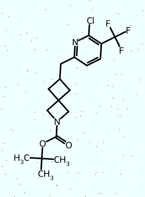 CC(C)(C)OC(=O)N1CC2(CC(Cc3ccc(C(F)(F)F)c(Cl)n3)C2)C1